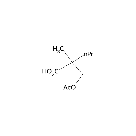 CCCC(C)(COC(C)=O)C(=O)O